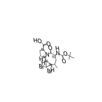 CC1C[C@H](NC(=O)OC(C)(C)C)C(=O)N2[C@H](CC[C@H]2C(=O)O)[C@@H]2[C@H]1C2(Br)Br